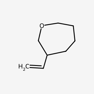 C=CC1CCCCOC1